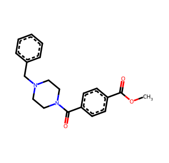 COC(=O)c1ccc(C(=O)N2CCN(Cc3ccccc3)CC2)cc1